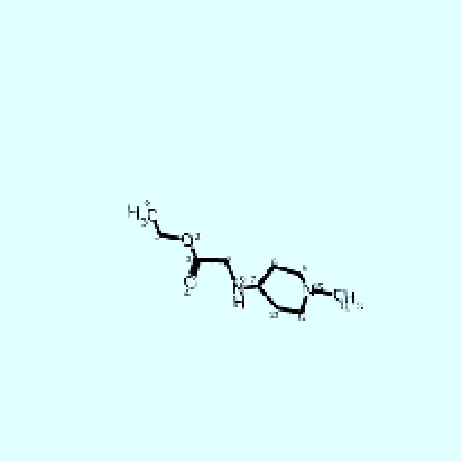 CCOC(=O)CNC1CCN(C)CC1